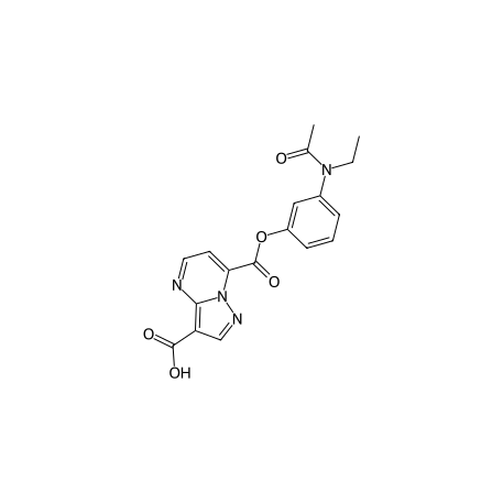 CCN(C(C)=O)c1cccc(OC(=O)c2ccnc3c(C(=O)O)cnn23)c1